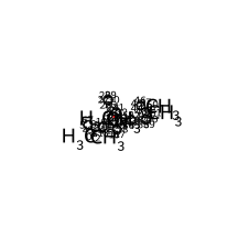 CC1(C)c2ccccc2-c2cc3c(cc21)-c1cccc(N(c2ccc(-c4ccccc4)cc2)c2ccc(-c4cccc5c4-c4ccccc4C5(C)C)cc2)c1C3(C)C